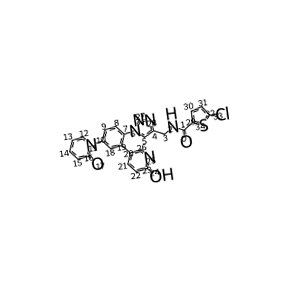 O=C(NCc1cn(-c2ccc(-n3ccccc3=O)cc2-c2ccc(O)nc2)nn1)c1ccc(Cl)s1